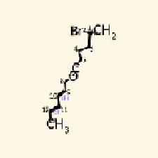 C=C(Br)CCCCOC/C=C/C=C/C